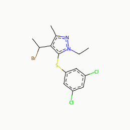 CCn1nc(C)c(C(C)Br)c1Sc1cc(Cl)cc(Cl)c1